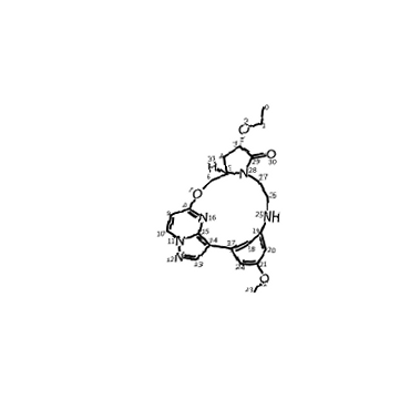 CCO[C@H]1C[C@H]2COc3ccn4ncc(c4n3)-c3cc(cc(OC)c3)NCCN2C1=O